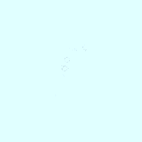 CCCC1CCC(C2CC=C(c3cnc(-c4ccc(CCC(=O)N5CC(C(=O)N=O)C5)cc4)nc3)CC2)CC1